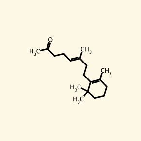 CC(=O)CCC=C(C)CCC1=C(C)CCCC1(C)C